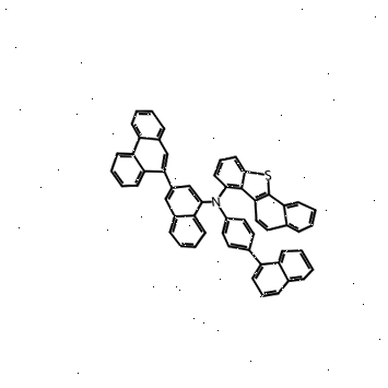 c1ccc2c(-c3ccc(N(c4cc(-c5cc6ccccc6c6ccccc56)cc5ccccc45)c4cccc5sc6c7ccccc7ccc6c45)cc3)cccc2c1